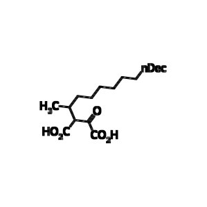 CCCCCCCCCCCCCCCCC(C)C(C(=O)O)C(=O)C(=O)O